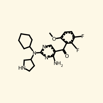 COc1ccc(F)c(F)c1C(=O)c1cnc(N(C2CCCCC2)C2CCNC2)nc1N